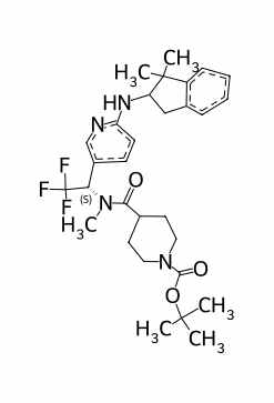 CN(C(=O)C1CCN(C(=O)OC(C)(C)C)CC1)[C@@H](c1ccc(NC2Cc3ccccc3C2(C)C)nc1)C(F)(F)F